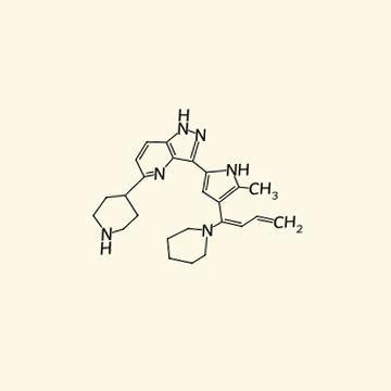 C=C/C=C(\c1cc(-c2n[nH]c3ccc(C4CCNCC4)nc23)[nH]c1C)N1CCCCC1